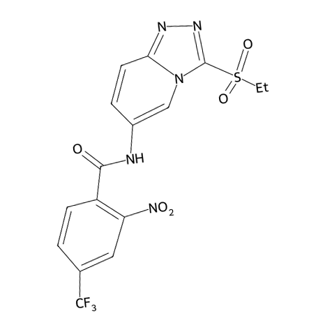 CCS(=O)(=O)c1nnc2ccc(NC(=O)c3ccc(C(F)(F)F)cc3[N+](=O)[O-])cn12